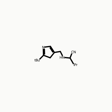 CC(C)C(C#N)NCC1=CN=C(C(C)(C)C)C1